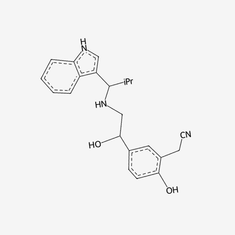 CC(C)C(NCC(O)c1ccc(O)c(CC#N)c1)c1c[nH]c2ccccc12